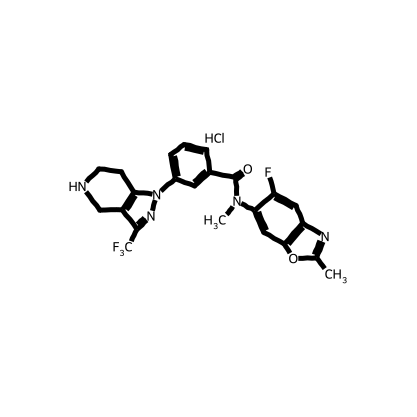 Cc1nc2cc(F)c(N(C)C(=O)c3cccc(-n4nc(C(F)(F)F)c5c4CCNC5)c3)cc2o1.Cl